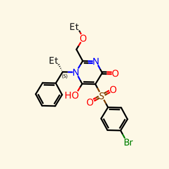 CCOCc1nc(=O)c(S(=O)(=O)c2ccc(Br)cc2)c(O)n1[C@@H](CC)c1ccccc1